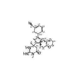 CN1C(=N)N[C@](C)(c2cc(C3C=CC=C(C#N)C3)cs2)[C@H](c2ccc3c(c2)OCCO3)C1=O